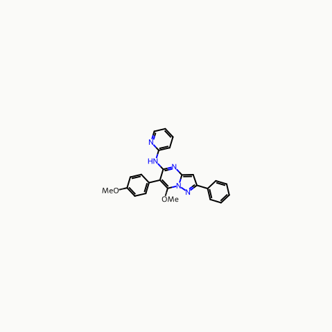 COc1ccc(-c2c(Nc3ccccn3)nc3cc(-c4ccccc4)nn3c2OC)cc1